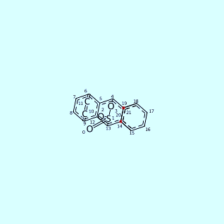 O=S1(=O)Oc2c3c4ccc(cc4)c3c1c1c3ccc(cc3)c21